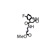 COC(=O)/C=C/CNC(=O)C1CC(=O)Nc2ccc(F)cc21